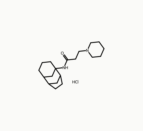 Cl.O=C(CCN1CCCCC1)NC12CCCC(C1)C1CCC2C1